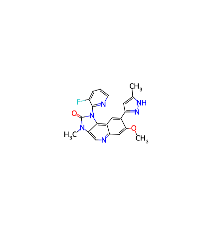 COc1cc2ncc3c(c2cc1-c1cc(C)[nH]n1)n(-c1ncccc1F)c(=O)n3C